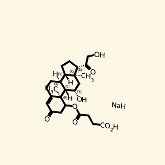 C[C@]12C[C@H](O)[C@H]3[C@@H](CCC4=CC(=O)CC(OC(=O)CCC(=O)O)[C@@]43C)[C@@H]1CC[C@@H]2C(=O)CO.[NaH]